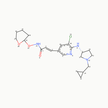 O=C(/C=C/c1cnc(N[C@@H]2CCN(CC3CC3)C2)c(Cl)c1)NOC1CCCCO1